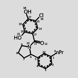 CCCc1cccc(C2CCCN2C(=O)c2cc(Cl)c(O)cc2O)c1